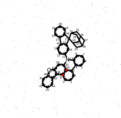 c1ccc(-c2ccccc2N(c2ccc3c(c2)C2(c4ccccc4-3)C3CC4CC(C3)CC2C4)c2ccc3c(c2)oc2ccccc23)cc1